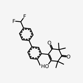 Cc1ccc(-c2ccc(C(F)F)cc2)cc1C1=C(O)C(C)(C)C(=O)C(C)(C)C1=O